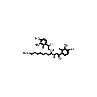 CCCCCCCCCCCCCCCCCC(NCC(O)c1ccc(O)c(O)c1C)NCC(O)c1ccc(O)c(O)c1C